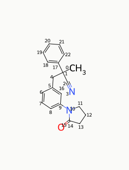 CC(C#N)(Cc1cccc(N2CCCC2=O)c1)c1ccccc1